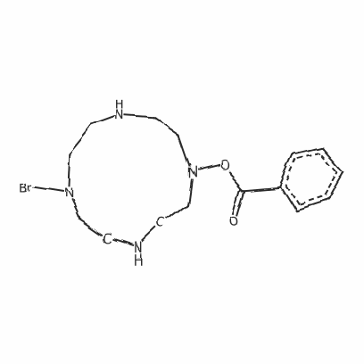 O=C(ON1CCNCCN(Br)CCNCC1)c1ccccc1